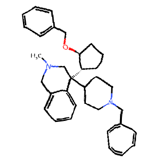 CN1Cc2ccccc2C(C2CCN(Cc3ccccc3)CC2)([C@H]2CCC[C@@H]2OCc2ccccc2)C1